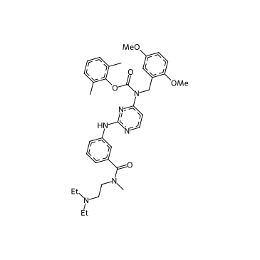 CCN(CC)CCN(C)C(=O)c1cccc(Nc2nccc(N(Cc3cc(OC)ccc3OC)C(=O)Oc3c(C)cccc3C)n2)c1